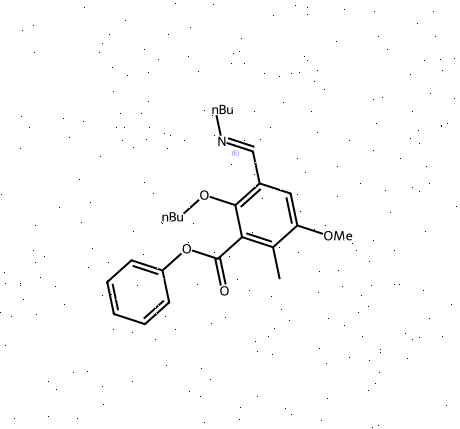 CCCC/N=C/c1cc(OC)c(C)c(C(=O)Oc2ccccc2)c1OCCCC